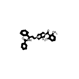 Cc1cccc(C)c1C(=O)N1CC2CN(CCC(NC(=O)c3ccccc3)c3ccccc3)CC2C1